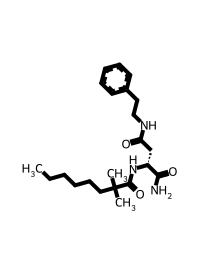 CCCCCCC(C)(C)C(=O)N[C@H](CC(=O)NCCc1ccccc1)C(N)=O